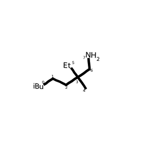 CCC(C)CCC(C)(CC)CN